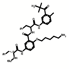 Cc1ccc(NC(=O)C(CC(C)C)NC(=O)c2cc(NC(=O)[C@@H](CC(C)C)NC(C)(C)C)ccc2OCCCCCN)cc1C(=O)C(C)(C)N